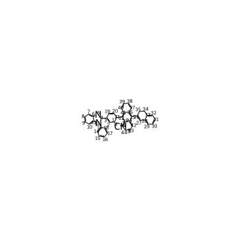 CC1C=C(c2nc3ccccc3n2-c2ccccc2)C=CC1c1c2c(c(C3=Cc4ccccc4CC3)c3ccccc13)=CCCC=2